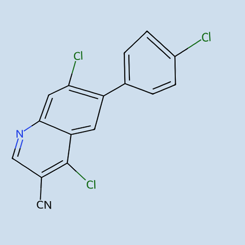 N#Cc1cnc2cc(Cl)c(-c3ccc(Cl)cc3)cc2c1Cl